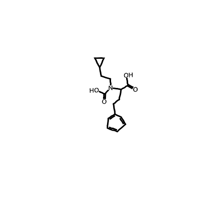 O=C(O)C(CCc1ccccc1)N(CCC1CC1)C(=O)O